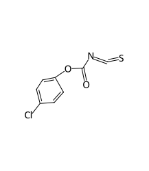 O=C(N=C=S)Oc1ccc(Cl)cc1